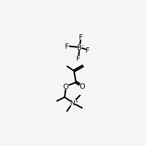 C=C(C)C(=O)OC(C)[N+](C)(C)C.F[B-](F)(F)F